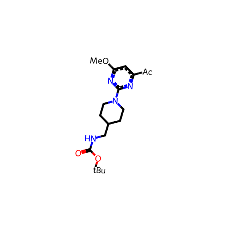 COc1cc(C(C)=O)nc(N2CCC(CNC(=O)OC(C)(C)C)CC2)n1